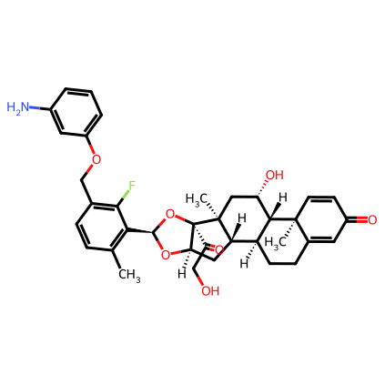 Cc1ccc(COc2cccc(N)c2)c(F)c1[C@@H]1O[C@@H]2C[C@H]3[C@@H]4CCC5=CC(=O)C=C[C@]5(C)[C@H]4[C@@H](O)C[C@]3(C)[C@]2(C(=O)CO)O1